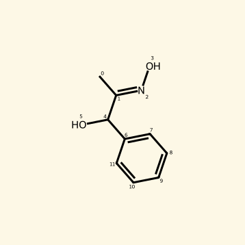 CC(=NO)C(O)c1ccccc1